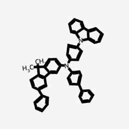 CC1(C)c2ccc(-c3ccccc3)cc2-c2cc(N(c3ccc(-c4ccccc4)cc3)c3ccc(-n4c5ccccc5c5ccccc54)cc3)ccc21